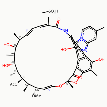 CO[C@H]1/C=C/O[C@@]2(C)Oc3c(C)c(O)c4c(O)c(c5c(nc6cc(C)ccn65)c4c3C2=O)NC(=O)/C(C)=C\C=C\[C@H](C)[C@H](O)[C@@H](C)[C@@H](O)[C@@H](C)[C@H](OC(C)=O)[C@@H]1C.CS(=O)(=O)O